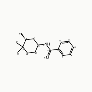 C[C@H]1CC(NC(=O)c2ccccc2)CCC1(C)C